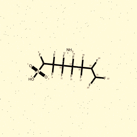 N.O=S(=O)(O)C(F)C(F)(F)C(F)(F)C(F)(F)C(F)(F)C(F)C(F)F